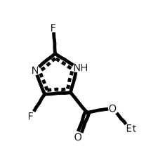 CCOC(=O)c1[nH]c(F)nc1F